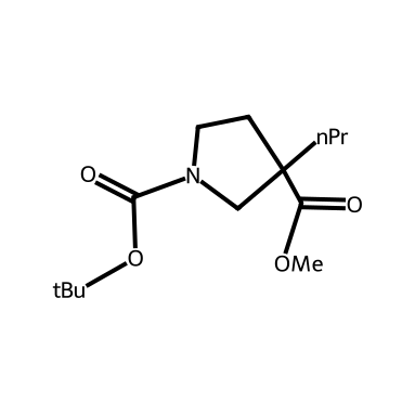 CCCC1(C(=O)OC)CCN(C(=O)OC(C)(C)C)C1